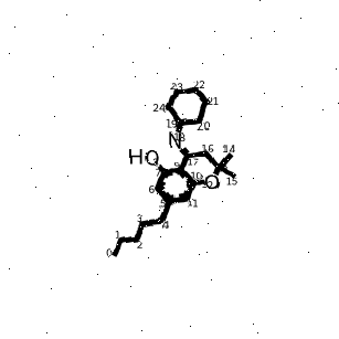 CCCCCc1cc(O)c2c(c1)OC(C)(C)CC2=NC1CCCCC1